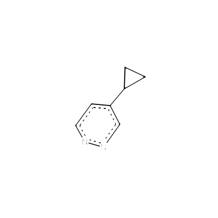 [c]1cc(C2CC2)cnn1